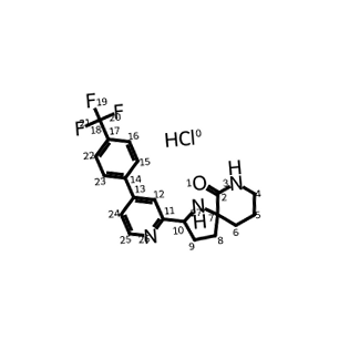 Cl.O=C1NCCCC12CCC(c1cc(-c3ccc(C(F)(F)F)cc3)ccn1)N2